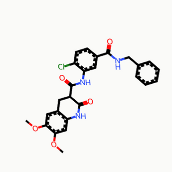 COc1cc2c(cc1OC)NC(=O)C(C(=O)Nc1cc(C(=O)NCc3ccccc3)ccc1Cl)C2